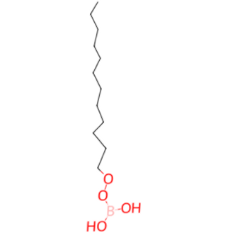 CCCCCCCCCCCCOOB(O)O